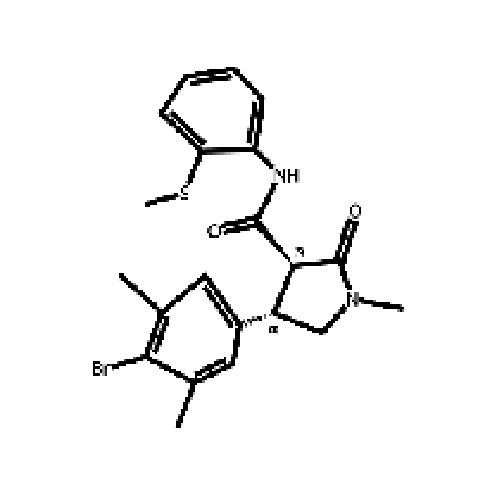 CSc1ccccc1NC(=O)[C@H]1C(=O)N(C)C[C@@H]1c1cc(C)c(Br)c(C)c1